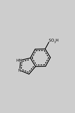 O=S(=O)(O)c1ccc2cn[nH]c2c1